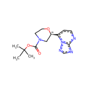 CC(C)(C)OC(=O)N1CCO[C@@H](c2ccnc3ncnn23)C1